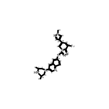 CC1CN(c2cnc3ccc(Sc4nnc5c(F)cc(-c6cnn(C)c6)cn45)cc3c2)CC(C)N1